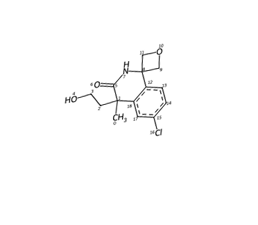 CC1(CCO)C(=O)NC2(COC2)c2ccc(Cl)cc21